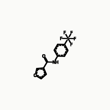 O=C(Nc1ccc(S(F)(F)(F)(F)F)cc1)c1ccoc1